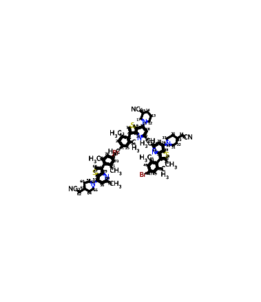 Cc1cc(C)c(-c2csc3c(N4CCCC(C#N)C4)cc(C)nc23)c(C)c1.Cc1cc(N2CCC(CC#N)CC2)c2sc(C)c(-c3c(C)cc(Br)cc3C)c2n1.Cc1cc(N2CCC(CC#N)CC2)c2scc(-c3c(C)cc(Br)cc3C)c2n1